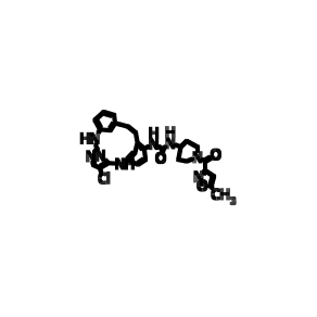 Cc1cc(C(=O)N2CCC(NC(=O)Nc3ccc4cc3CCc3cccc(c3)Nc3ncc(Cl)c(n3)N4)CC2)no1